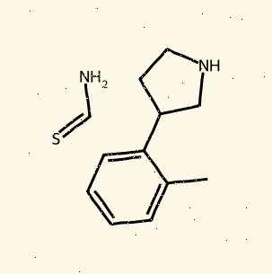 Cc1ccccc1C1CCNC1.NC=S